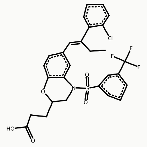 CCC(=Cc1ccc2c(c1)N(S(=O)(=O)c1cccc(C(F)(F)F)c1)CC(CCC(=O)O)O2)c1ccccc1Cl